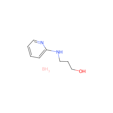 B.OCCCNc1ccccn1